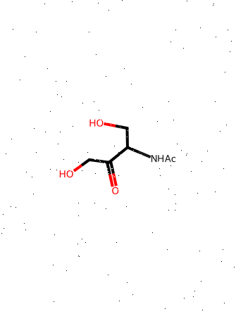 CC(=O)NC(CO)C(=O)CO